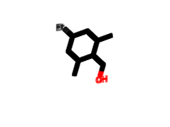 CCC1CC(C)C(CO)C(C)C1